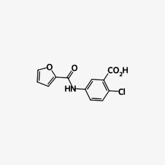 O=C(Nc1ccc(Cl)c(C(=O)O)c1)c1ccco1